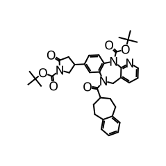 CC(C)(C)OC(=O)N1CC(c2ccc3c(c2)N(C(=O)C2CCc4ccccc4CC2)Cc2cccnc2N3C(=O)OC(C)(C)C)CC1=O